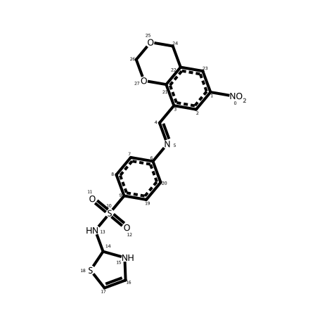 O=[N+]([O-])c1cc(/C=N/c2ccc(S(=O)(=O)NC3NC=CS3)cc2)c2c(c1)COCO2